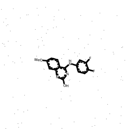 COc1ccc2c(Nc3ccc(F)c(F)c3)nc(O)nc2c1